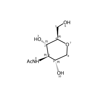 CC(=O)N[C@H]1[C@H](O)[C@@H](CO)OC[C@@H]1O